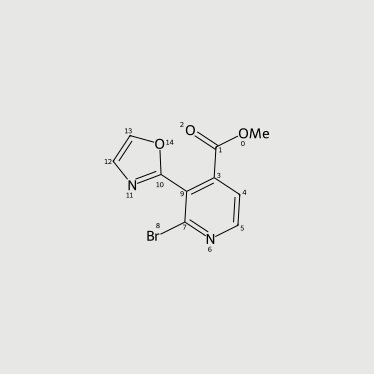 COC(=O)c1ccnc(Br)c1-c1ncco1